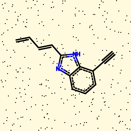 C#Cc1cccc2nc(/C=C/C=C)[nH]c12